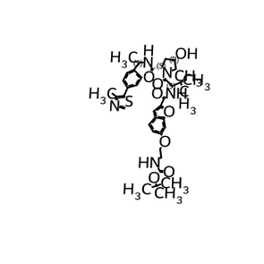 Cc1ncsc1-c1ccc([C@H](C)NC(=O)[C@@H]2C[C@@H](O)CN2C(=O)[C@@H](NC(=O)c2cc3ccc(OCCNC(=O)OC(C)(C)C)cc3o2)C(C)(C)C)cc1